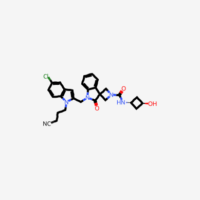 N#CCCCn1c(CN2C(=O)C3(CN(C(=O)N[C@H]4C[C@H](O)C4)C3)c3ccccc32)cc2cc(Cl)ccc21